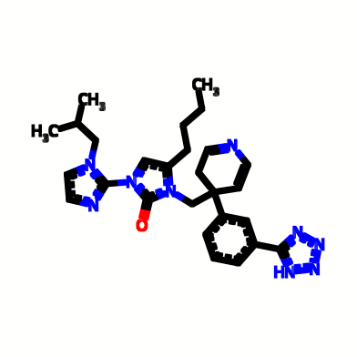 CCCCc1cn(-c2nccn2CC(C)C)c(=O)n1CC1(c2cccc(-c3nnn[nH]3)c2)C=CN=CC1